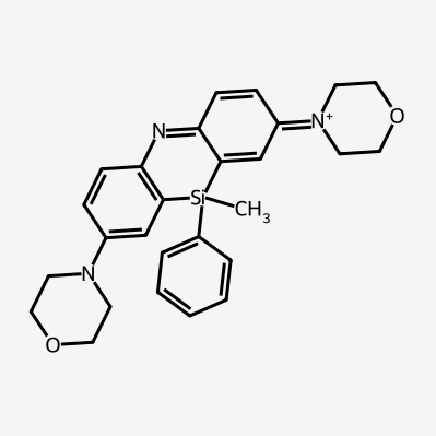 C[Si]1(c2ccccc2)C2=CC(=[N+]3CCOCC3)C=CC2=Nc2ccc(N3CCOCC3)cc21